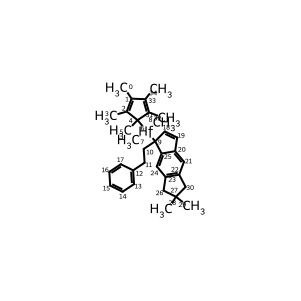 CC1=C(C)[C](C)([Hf]([CH3])([CH3])[C]2(CCc3ccccc3)C=Cc3cc4c(cc32)CC(C)(C)C4)C(C)=C1C